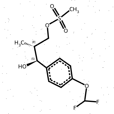 C[C@H](COS(C)(=O)=O)[C@H](O)c1ccc(OC(F)F)cc1